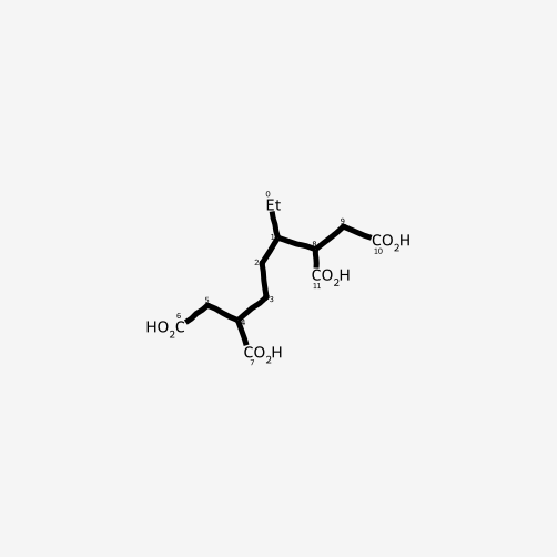 CCC(CCC(CC(=O)O)C(=O)O)C(CC(=O)O)C(=O)O